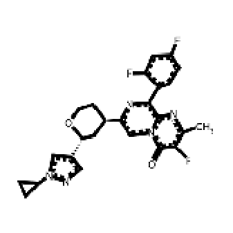 Cc1nc2c(-c3ccc(F)cc3F)nc([C@@H]3CCO[C@@H](c4cnn(C5CC5)c4)C3)cn2c(=O)c1F